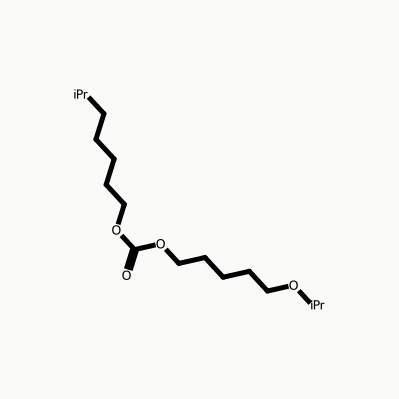 CC(C)CCCCCOC(=O)OCCCCCOC(C)C